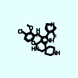 COc1c(Cl)cccc1Nc1c(-c2ccncc2F)[nH]c2c1C(=O)NCC21CCNCC1